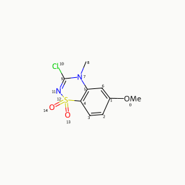 COc1ccc2c(c1)N(C)C(Cl)=NS2(=O)=O